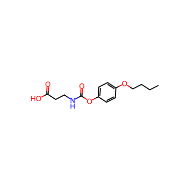 CCCCOc1ccc(OC(=O)NCCC(=O)O)cc1